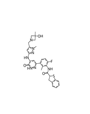 Cc1c(-c2cc(Nc3cc(CN4CC(C)(O)C4)n(C)n3)c(=O)[nH]n2)ccc(F)c1NC(=O)C1Cc2ccccc2S1